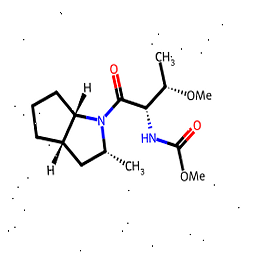 COC(=O)N[C@H](C(=O)N1[C@H](C)C[C@@H]2CCC[C@@H]21)[C@H](C)OC